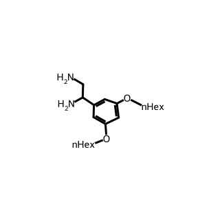 CCCCCCOc1cc(OCCCCCC)cc(C(N)CN)c1